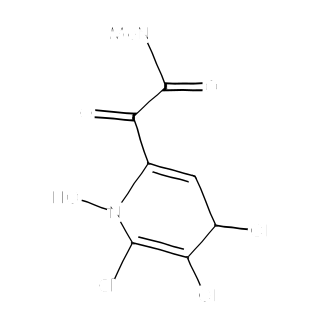 CNC(=O)C(=O)C1=CC(O)C(O)=C(Cl)N1O